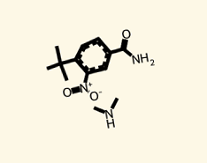 CC(C)(C)c1ccc(C(N)=O)cc1[N+](=O)[O-].CNC